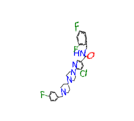 O=C(NCc1ccc(F)cc1F)c1cnc(N2CCN(C3CCN(Cc4ccc(F)cc4)CC3)CC2)c(Cl)c1